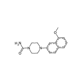 COc1cccc2ccc(N3CCN(C(N)=O)CC3)cc12